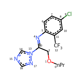 CCCOCC(=Nc1ccc(Cl)cc1C(F)(F)F)n1cncn1